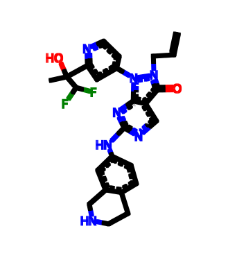 C=CCn1c(=O)c2cnc(Nc3ccc4c(c3)CNCC4)nc2n1-c1ccnc(C(C)(O)C(F)F)c1